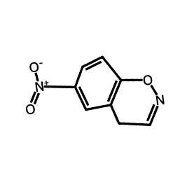 O=[N+]([O-])c1ccc2c(c1)CC=NO2